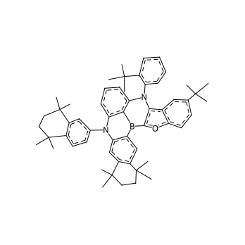 CC(C)(C)c1ccc2oc3c(c2c1)N(c1ccccc1C(C)(C)C)c1cccc2c1B3c1cc3c(cc1N2c1ccc2c(c1)C(C)(C)CCC2(C)C)C(C)(C)CCC3(C)C